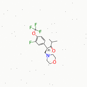 CC(C)C(=O)[C@@H](CN1CCOCC1)c1ccc(OC(F)(F)F)c(F)c1